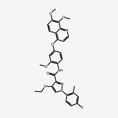 CCOc1cn(-c2ccc(F)cc2C)nc1C(=O)Nc1ccc(Oc2ccnc3c(OC)c(OC)ccc23)cc1OC